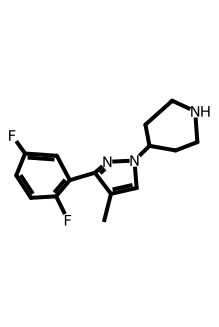 Cc1cn(C2CCNCC2)nc1-c1cc(F)ccc1F